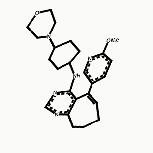 COc1ccc(C2=CCCCc3ncnc(NC4CCC(N5CCOCC5)CC4)c32)cn1